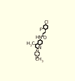 Cc1cc(N2CCN(C)CC2)nc2ccc(NC(=O)C=Cc3ccc(Cl)cc3F)cc12